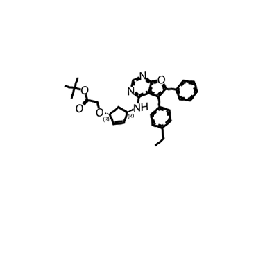 CCc1ccc(-c2c(-c3ccccc3)oc3ncnc(N[C@H]4C=C[C@H](OCC(=O)OC(C)(C)C)C4)c23)cc1